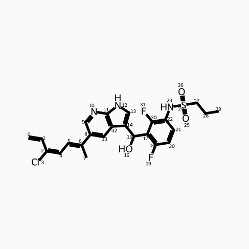 C=C/C(Cl)=C\C=C(/C)c1cnc2[nH]cc(C(O)c3c(F)ccc(NS(=O)(=O)CCC)c3F)c2c1